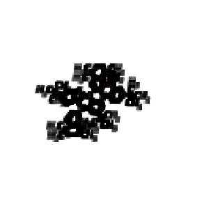 CC(C)(C)c1ccc(N2c3cc4c(cc3B3c5sc6cc(C(C)(C)C)ccc6c5N(c5ccc6c(c5)C(C)(C)CCC6(C)C)c5cc(C(C)(C)C)cc2c53)C(C)(C)CCC4(C)C)c(-c2ccccc2)c1